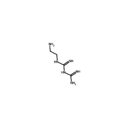 N=C(N)NC(=N)NCCN